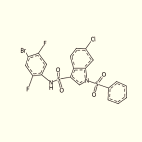 O=S(=O)(Nc1cc(F)c(Br)cc1F)c1cn(S(=O)(=O)c2ccccc2)c2cc(Cl)ccc12